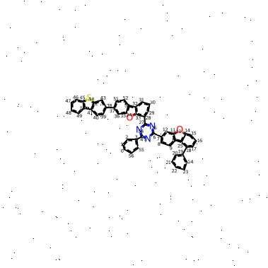 c1ccc(-c2nc(-c3ccc4c(c3)oc3cccc(-c5ccccc5)c34)nc(-c3cccc4c3oc3cc(-c5ccc6c(c5)sc5ccccc56)ccc34)n2)cc1